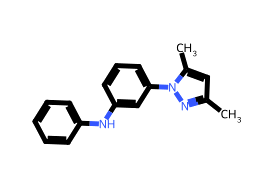 Cc1cc(C)n(-c2cccc(Nc3ccccc3)c2)n1